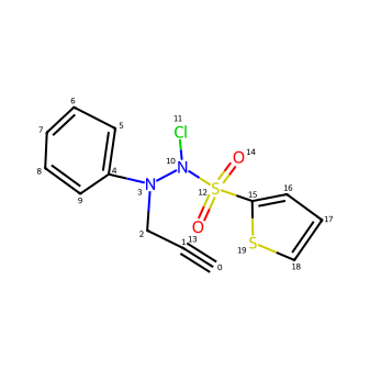 C#CCN(c1ccccc1)N(Cl)S(=O)(=O)c1cccs1